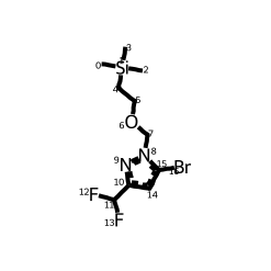 C[Si](C)(C)CCOCn1nc(C(F)F)cc1Br